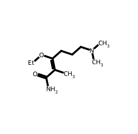 CCOC(CCCN(C)C)=C(C)C(N)=O